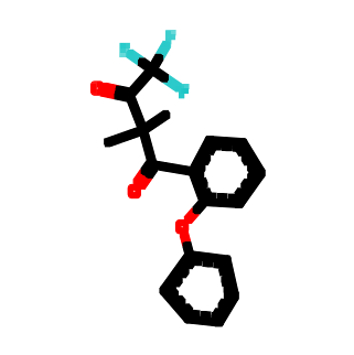 CC(C)(C(=O)c1ccccc1Oc1ccccc1)C(=O)C(F)(F)F